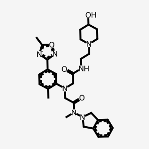 Cc1nc(-c2ccc(C)c(N(CC(=O)NCCN3CCC(O)CC3)CC(=O)N(C)N3Cc4ccccc4C3)c2)no1